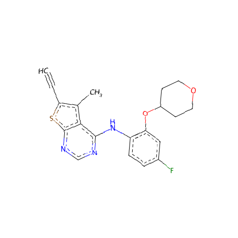 C#Cc1sc2ncnc(Nc3ccc(F)cc3OC3CCOCC3)c2c1C